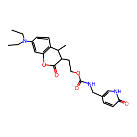 CCN(CC)c1ccc2c(c1)OC(=O)C(CCOC(=O)NCc1ccc(=O)[nH]c1)C2C